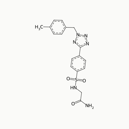 Cc1ccc(Cn2nnc(-c3ccc(S(=O)(=O)NCC(N)=O)cc3)n2)cc1